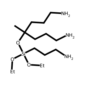 CCO[Si](CCCN)(OCC)OC(C)(CCCN)CCCN